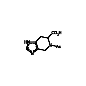 CC(=O)N1Cc2nc[nH]c2CC1C(=O)O